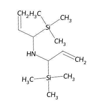 C=CC(NC(C=C)[Si](C)(C)C)[Si](C)(C)C